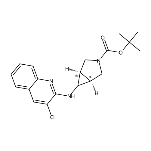 CC(C)(C)OC(=O)N1C[C@@H]2C(Nc3nc4ccccc4cc3Cl)[C@@H]2C1